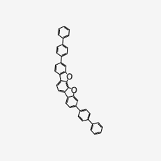 c1ccc(-c2ccc(-c3ccc4c(c3)oc3c4ccc4c5ccc(-c6ccc(-c7ccccc7)cc6)cc5oc43)cc2)cc1